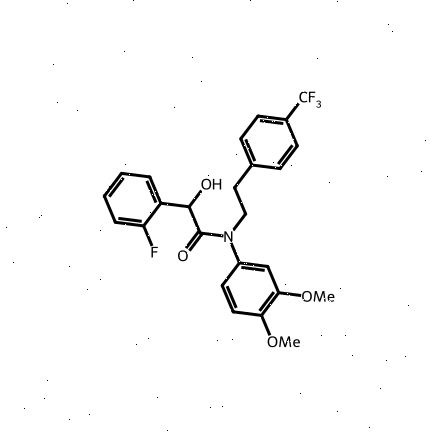 COc1ccc(N(CCc2ccc(C(F)(F)F)cc2)C(=O)C(O)c2ccccc2F)cc1OC